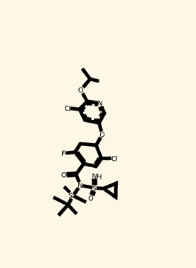 CC(C)Oc1ncc(OC2CC(F)=C(C(=O)N([Si](C)(C)C(C)(C)C)S(=N)(=O)C3CC3)C=C2Cl)cc1Cl